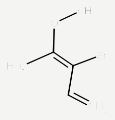 C=C/C(Br)=C(\C)OC